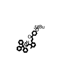 Cc1cccc(/C=C/C(=O)C2CCC(O[Si](C)(C)C(C)(C)C)CC2)c1-c1cn(C(c2ccccc2)(c2ccccc2)c2ccccc2)cn1